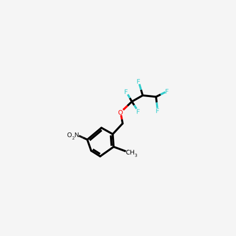 Cc1ccc([N+](=O)[O-])cc1COC(F)(F)C(F)C(F)F